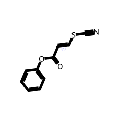 N#CS/C=C/C(=O)Oc1ccccc1